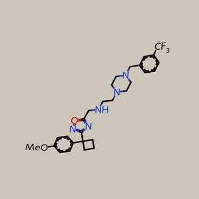 COc1ccc(C2(c3noc(CNCCN4CCN(Cc5cccc(C(F)(F)F)c5)CC4)n3)CCC2)cc1